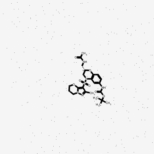 CC(=O)NC[C@H]1CN(S(=O)(=O)c2c(C)nn3c2OCCC3)c2cc(NC(=O)OC(C)(C)C)ccc2O1